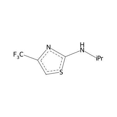 CC(C)Nc1nc(C(F)(F)F)cs1